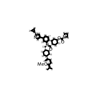 C=C(/C=C\C(OC)=C(C)C)[C@H]1CC[C@H](CN(c2cccc(-c3cnn(C4CC4)c3)c2)C(=O)[C@H]2CC[C@H](OC(=O)N3CCC3)CC2)CC1